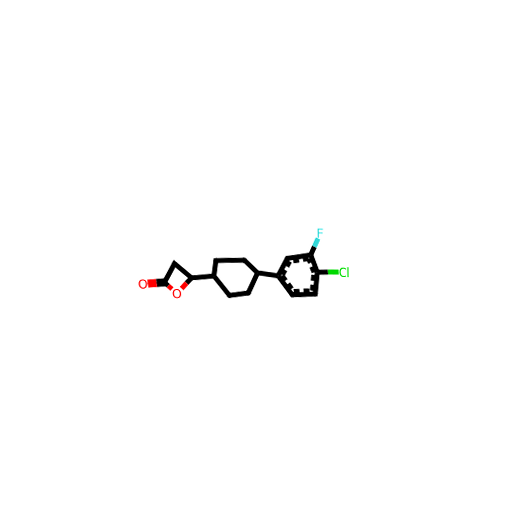 O=C1CC(C2CCC(c3ccc(Cl)c(F)c3)CC2)O1